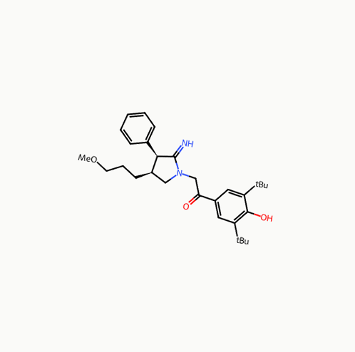 COCCC[C@@H]1CN(CC(=O)c2cc(C(C)(C)C)c(O)c(C(C)(C)C)c2)C(=N)[C@@H]1c1ccccc1